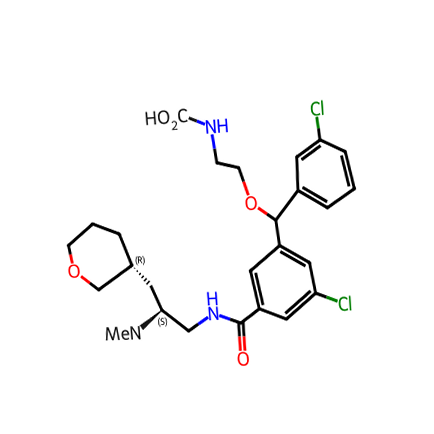 CN[C@H](CNC(=O)c1cc(Cl)cc(C(OCCNC(=O)O)c2cccc(Cl)c2)c1)C[C@H]1CCCOC1